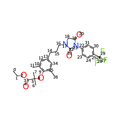 CCOC(=O)C(C)(C)Oc1c(C)cc(CCCN2CC(=O)N(c3ccc(C(F)(F)F)cc3)C2=O)cc1C